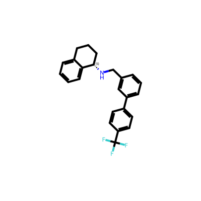 FC(F)(F)c1ccc(-c2cccc(CN[C@H]3CCCc4ccccc43)c2)cc1